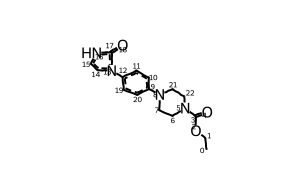 CCOC(=O)N1CCN(c2ccc(-n3cc[nH]c3=O)cc2)CC1